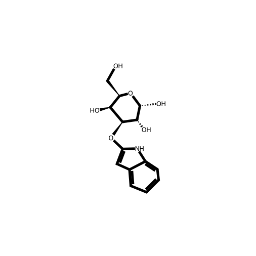 OC[C@H]1O[C@H](O)[C@H](O)[C@@H](Oc2cc3ccccc3[nH]2)[C@H]1O